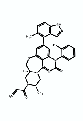 C=CC(=O)N1C[C@H]2COc3cc(-c4c(C)ccc5[nH]ncc45)cc4c3c(nc(=O)n4-c3ccccc3C(C)C)N2C[C@H]1C